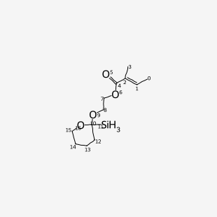 CC=C(C)C(=O)OCCOC1([SiH3])CCCCO1